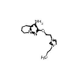 Nc1c(OCCn2cc[n+](CCO)c2)nn2c1CCCC2